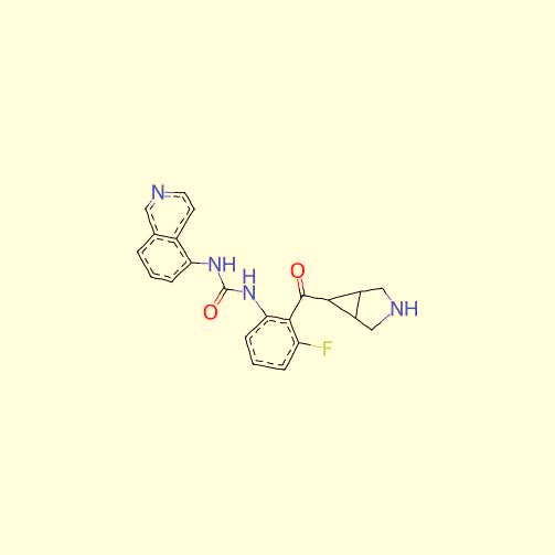 O=C(Nc1cccc(F)c1C(=O)C1C2CNCC21)Nc1cccc2cnccc12